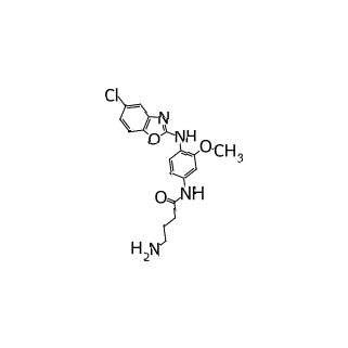 COc1cc(NC(=O)CCCN)ccc1Nc1nc2cc(Cl)ccc2o1